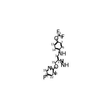 N=N/C(=C\Nc1ccc(OC(F)F)cc1)COc1ncc(F)cn1